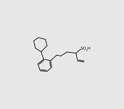 C=CC(CCCc1ccccc1C1CCCCC1)S(=O)(=O)O